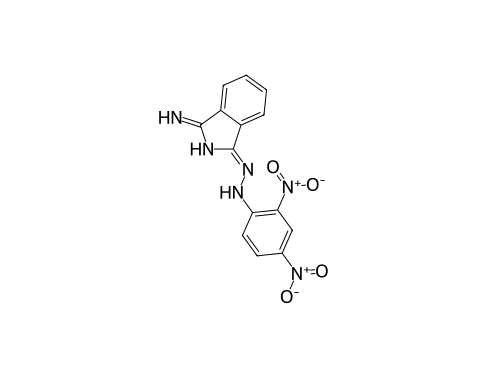 N=C1NC(=NNc2ccc([N+](=O)[O-])cc2[N+](=O)[O-])c2ccccc21